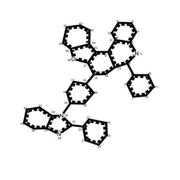 c1ccc(-c2nc3ccccc3c3c2cc(-c2ccc(-n4c(-c5ccccc5)nc5ccccc54)cc2)c2oc4ccccc4c23)cc1